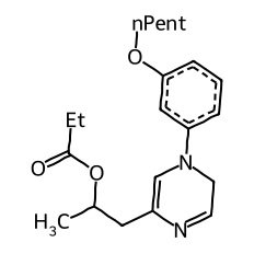 CCCCCOc1cccc(N2C=C(CC(C)OC(=O)CC)N=CC2)c1